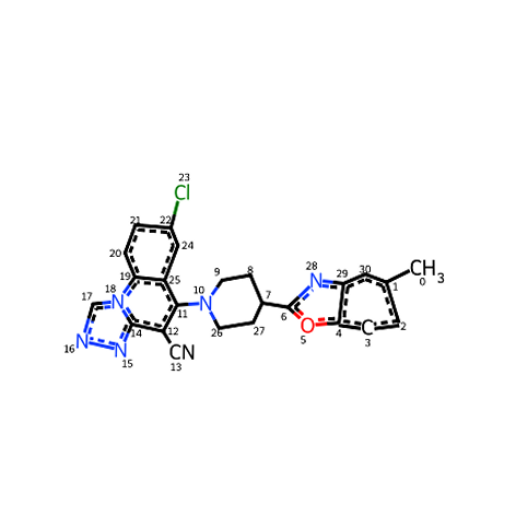 Cc1ccc2oc(C3CCN(c4c(C#N)c5nncn5c5ccc(Cl)cc45)CC3)nc2c1